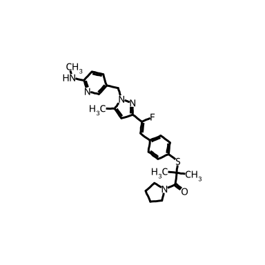 CNc1ccc(Cn2nc(/C(F)=C/c3ccc(SC(C)(C)C(=O)N4CCCC4)cc3)cc2C)cn1